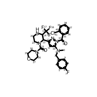 CN(Cc1ccc(F)cc1)c1cc(C2C(C(F)(F)F)NCCN2C(=O)N2CCOCC2)nn1C(=O)c1ccccc1Cl